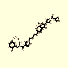 O=C(NCc1cc(OC(F)(F)F)ccc1F)c1cn(CCCCc2cc3cc(C4CN(C(=O)C5COC5)C4)[nH]c3nn2)nn1